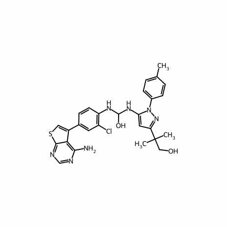 Cc1ccc(-n2nc(C(C)(C)CO)cc2NC(O)Nc2ccc(-c3csc4ncnc(N)c34)cc2Cl)cc1